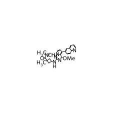 COc1nc(NC2CC(C)(C(=O)N(C)C)C2)nn2ccc(-c3ccc4ncccc4c3)c12